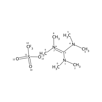 CN(C)C(N(C)C)=[N+](C)C.O=S(=O)([O-])C(F)(F)F